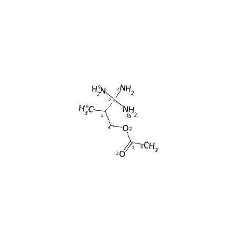 CC(=O)OCC(C)C(N)(N)N